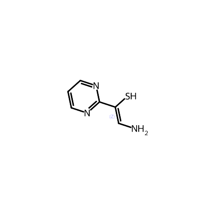 N/C=C(\S)c1ncccn1